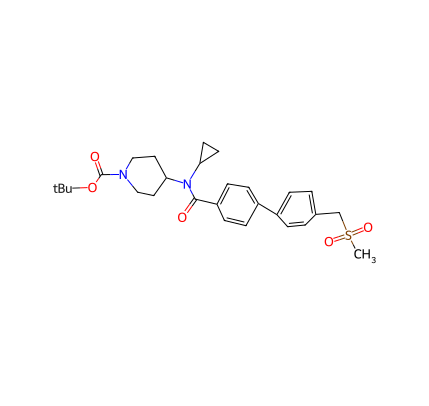 CC(C)(C)OC(=O)N1CCC(N(C(=O)c2ccc(-c3ccc(CS(C)(=O)=O)cc3)cc2)C2CC2)CC1